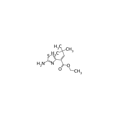 CCOC(=O)/C(=C/C(C)(C)C)c1csc(N)n1